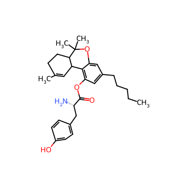 CCCCCc1cc(OC(=O)[C@@H](N)Cc2ccc(O)cc2)c2c(c1)OC(C)(C)C1CCC(C)=CC21